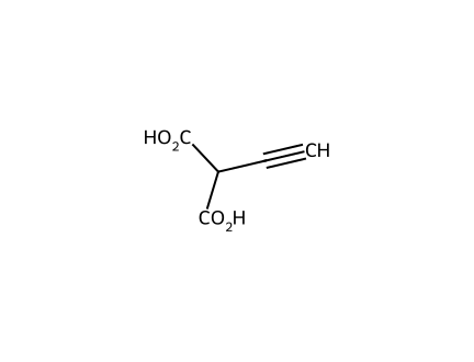 C#CC(C(=O)O)C(=O)O